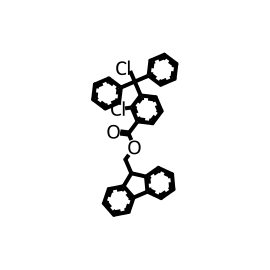 O=C(OCC1c2ccccc2-c2ccccc21)c1cccc(C(Cl)(c2ccccc2)c2ccccc2)c1Cl